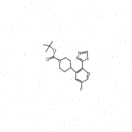 CC(C)(C)OC(=O)N1CCC(c2cc(F)cnc2-c2nncs2)CC1